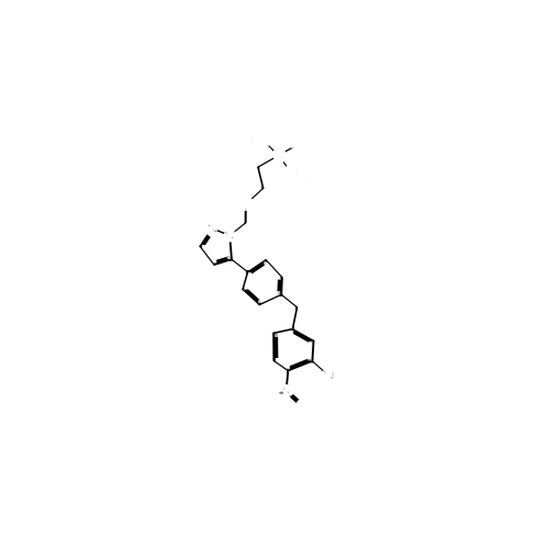 C[Si](C)(C)CCOCn1nccc1-c1ccc(Cc2ccc([N+](=O)[O-])c(N)c2)cc1